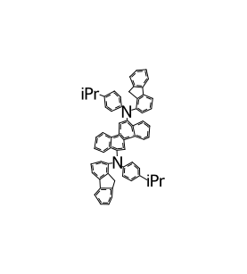 CC(C)c1ccc(N(c2cccc3c2Cc2ccccc2-3)c2cc3c4ccccc4c(N(c4ccc(C(C)C)cc4)c4cccc5c4Cc4ccccc4-5)cc3c3ccccc23)cc1